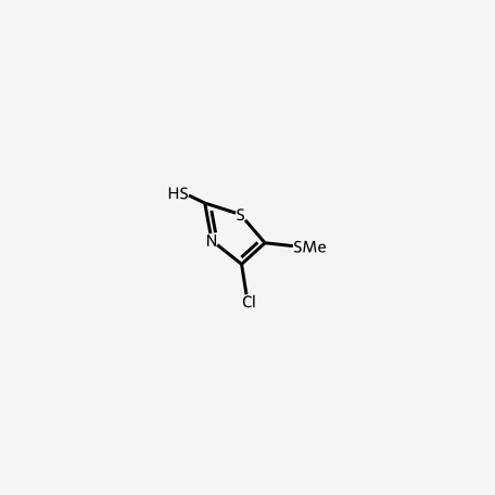 CSc1sc(S)nc1Cl